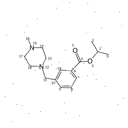 CC(C)OC(=O)c1cccc(CN2CCN(C)CC2)c1